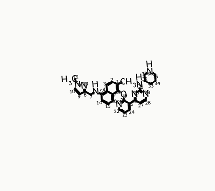 Cc1ccc2c(NCc3ccn(C)n3)cccc2c1Oc1ncccc1-c1ccnc(N[C@H]2CCCNC2)n1